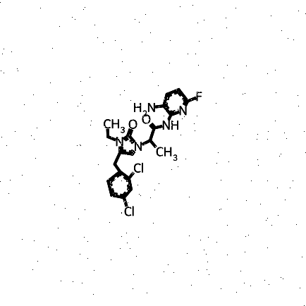 CCn1c(Cc2ccc(Cl)cc2Cl)cn(C(C)C(=O)Nc2nc(F)ccc2N)c1=O